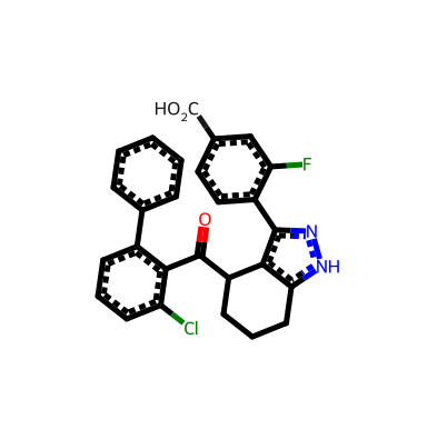 O=C(O)c1ccc(-c2n[nH]c3c2C(C(=O)c2c(Cl)cccc2-c2ccccc2)CCC3)c(F)c1